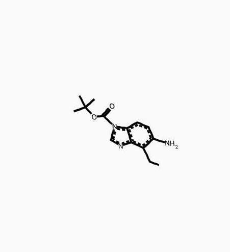 CCc1c(N)ccc2c1ncn2C(=O)OC(C)(C)C